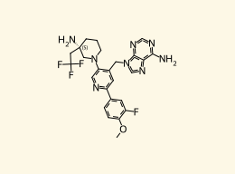 COc1ccc(-c2cc(Cn3cnc4c(N)ncnc43)c(N3CCC[C@](N)(CC(F)(F)F)C3)cn2)cc1F